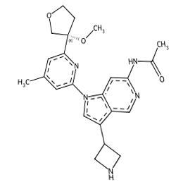 CO[C@@]1(c2cc(C)cc(-n3cc(C4CNC4)c4cnc(NC(C)=O)cc43)n2)CCOC1